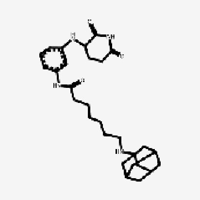 O=C1CCC(Nc2cccc(NC(=O)CCCCCCNC34CC5CC(CC(C5)C3)C4)c2)C(=O)N1